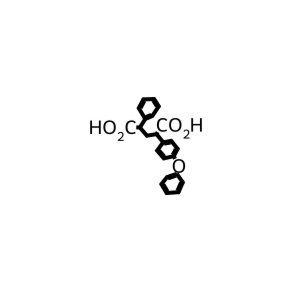 O=C(O)C(CC(C(=O)O)c1ccc(Oc2ccccc2)cc1)c1ccccc1